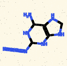 [N-]=[N+]=NC1NC2=C(NCN2)C(N)N1